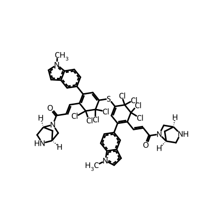 Cn1ccc2cc(C3=C(/C=C/C(=O)N4C[C@@H]5C[C@H]4CN5)C(Cl)(Cl)C(Cl)(Cl)C(SC4=CC(c5ccc6c(ccn6C)c5)=C(/C=C/C(=O)N5C[C@@H]6C[C@H]5CN6)C(Cl)(Cl)C4(Cl)Cl)=C3)ccc21